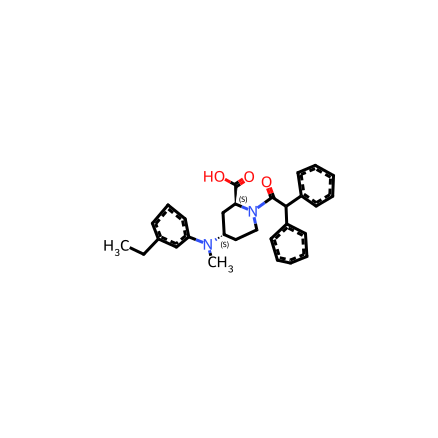 CCc1cccc(N(C)[C@H]2CCN(C(=O)C(c3ccccc3)c3ccccc3)[C@H](C(=O)O)C2)c1